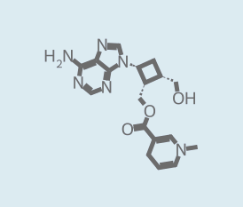 CN1C=CCC(C(=O)OC[C@H]2[C@@H](CO)C[C@H]2n2cnc3c(N)ncnc32)=C1